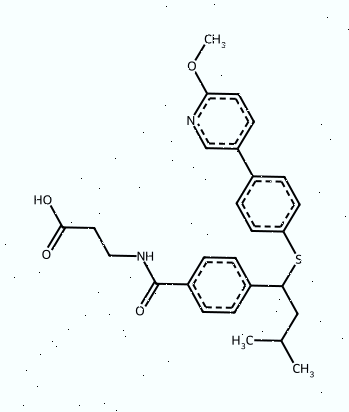 COc1ccc(-c2ccc(SC(CC(C)C)c3ccc(C(=O)NCCC(=O)O)cc3)cc2)cn1